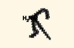 CCCCCC=CCC=CCCCCCCCCOC(=O)C(CN)(CCCCCCCC/C=C\C/C=C\CCCCC)CCCCCCCC/C=C\C/C=C\CCCCC